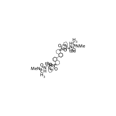 CN[C@@H](C)C(=O)NC(C(=O)N1CCC[C@H]1C(=O)N[C@@H]1CCCc2c(-c3cccc4c3CCC[C@H]4NC(=O)[C@@H]3CCCN3C(=O)[C@@H](NC(=O)[C@H](C)NC)C(C)(C)C)cccc21)C(C)(C)C